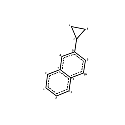 c1ccc2cc([C]3CC3)ccc2c1